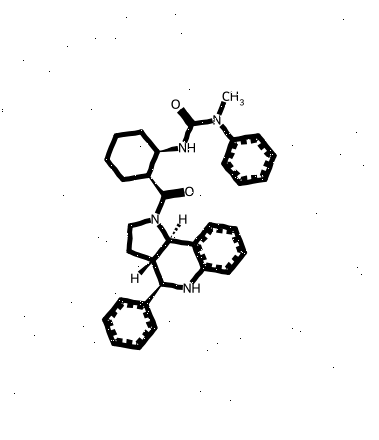 CN(C(=O)N[C@@H]1CCCC[C@@H]1C(=O)N1CC[C@H]2[C@H](c3ccccc3)Nc3ccccc3[C@@H]21)c1ccccc1